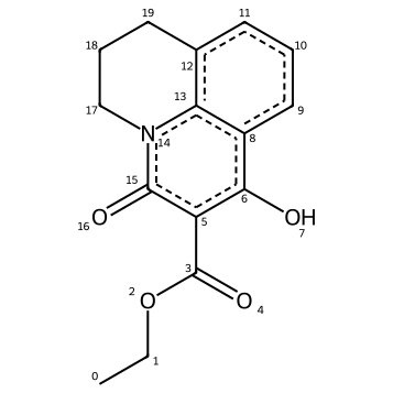 CCOC(=O)c1c(O)c2cccc3c2n(c1=O)CCC3